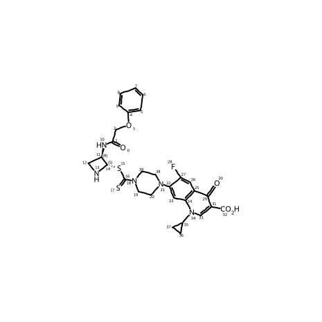 O=C(COc1ccccc1)N[C@@H]1CN[C@H]1SC(=S)N1CCN(c2cc3c(cc2F)c(=O)c(C(=O)O)cn3C2CC2)CC1